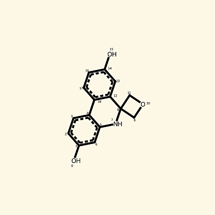 Oc1ccc2c(c1)NC1(COC1)c1cc(O)ccc1-2